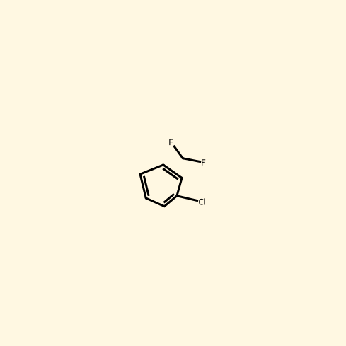 Clc1ccccc1.FCF